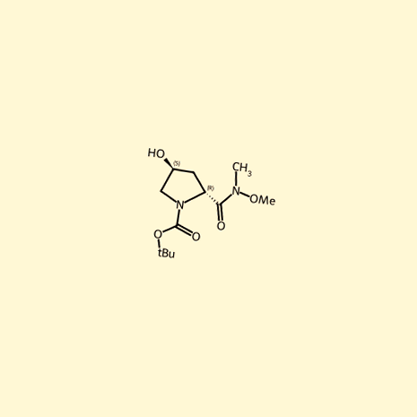 CON(C)C(=O)[C@H]1C[C@H](O)CN1C(=O)OC(C)(C)C